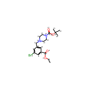 CCOC(=O)c1cc(Br)cc(CN2CCN(C(=O)OC(C)(C)C)CC2)c1